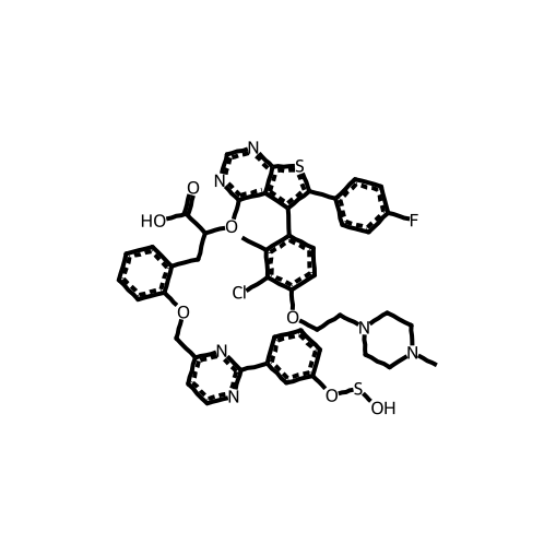 Cc1c(-c2c(-c3ccc(F)cc3)sc3ncnc(OC(Cc4ccccc4OCc4ccnc(-c5cccc(OSO)c5)n4)C(=O)O)c23)ccc(OCCN2CCN(C)CC2)c1Cl